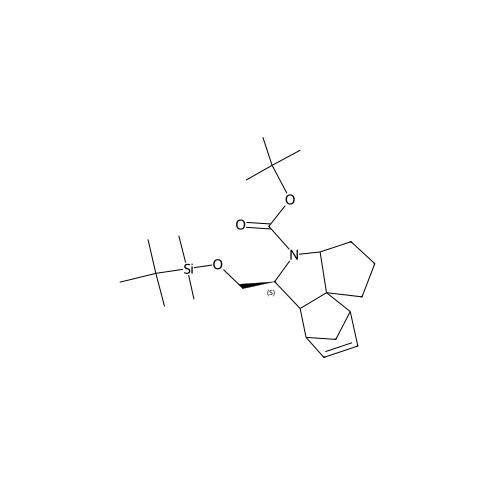 CC(C)(C)OC(=O)N1C2CCCC23C2C=CC(C2)C3[C@H]1CO[Si](C)(C)C(C)(C)C